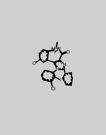 COc1ccc(Cl)cc1-c1c(C(N)=O)nc(-c2ccccc2)n1-c1cccc(Cl)c1F